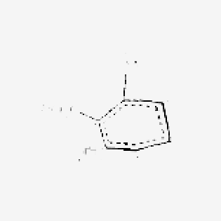 CC(=O)Oc1ccccc1C(=O)O.[SrH2]